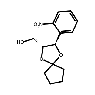 O=[N+]([O-])c1ccccc1[C@H]1OC2(CCCC2)O[C@@H]1CO